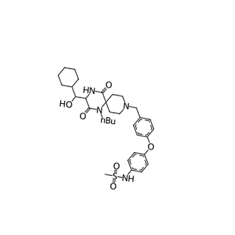 CCCCN1C(=O)C(C(O)C2CCCCC2)NC(=O)C12CCN(Cc1ccc(Oc3ccc(NS(C)(=O)=O)cc3)cc1)CC2